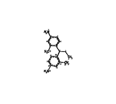 CCC(c1ccc(N)cc1C)c1ccc(N)cc1C